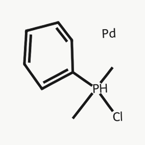 C[PH](C)(Cl)c1ccccc1.[Pd]